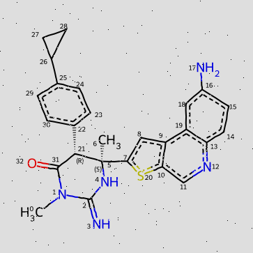 CN1C(=N)N[C@](C)(c2cc3c(cnc4ccc(N)cc43)s2)[C@@H](c2ccc(C3CC3)cc2)C1=O